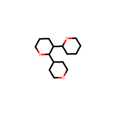 C1CCC(C2CCCOC2C2CCOCC2)OC1